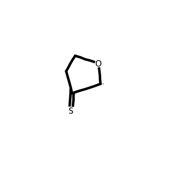 S=C1[CH]OCC1